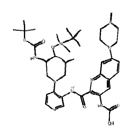 CC1CN(c2ccncc2NC(=O)c2nc3cc(N4CCN(C)CC4)ccc3cc2NC(=O)O)CC(NC(=O)OC(C)(C)C)C1O[Si](C)(C)C(C)(C)C